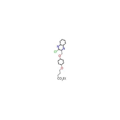 CCOC(=O)CCCOc1ccc(OCc2nc3ccccc3nc2Cl)cc1